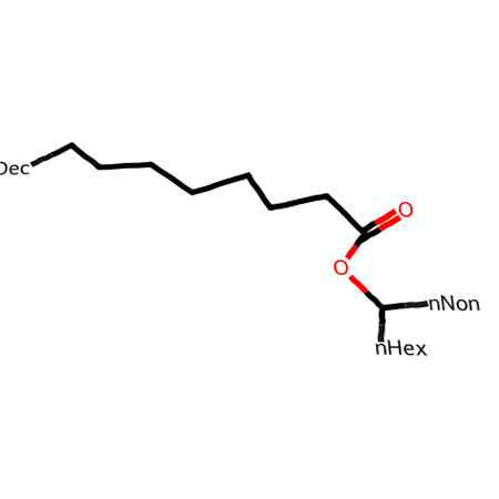 CCCCCCCCCCCCCCCCCC(=O)OC(CCCCCC)CCCCCCCCC